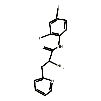 NC(Cc1ccccn1)C(=O)Nc1ccc(I)cc1F